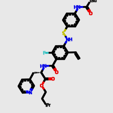 C=Cc1cc(C(=O)N[C@@H](Cc2cccnc2)C(=O)OCCC(C)C)c(F)cc1NSc1ccc(NC(=O)C(C)(C)C)cc1